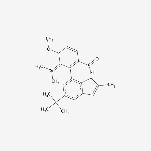 COC1C=CC(C([NH])=O)=C(c2cc(C(C)(C)C)cc3c2CC(C)=C3)C1=[Si](C)C